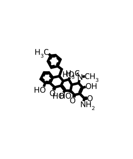 Cc1ccc(CC2c3cccc(O)c3C(=O)C3=C(O)C4(O)C(=O)C(C(N)=O)=C(O)C(N(C)C)C4C(O)C32)cc1